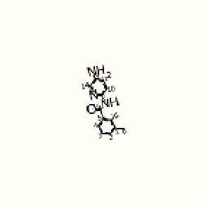 Cc1cccc(C(=O)Nc2ccc(N)cn2)c1